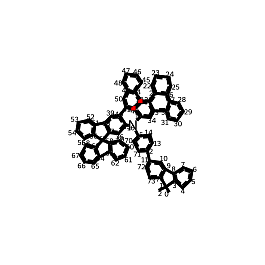 CC1(C)c2ccccc2-c2cc(-c3ccc(N(c4ccc5c6ccccc6c6ccccc6c5c4)c4cc5c(cc4-c4ccc6ccccc6c4)-c4ccccc4C54c5ccccc5-c5ccccc54)cc3)ccc21